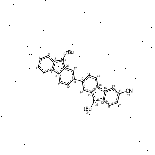 CC(C)(C)n1c2ccccc2c2ccc(-c3ccc4c5cc(C#N)ccc5n(C(C)(C)C)c4c3)cc21